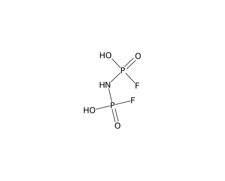 O=P(O)(F)NP(=O)(O)F